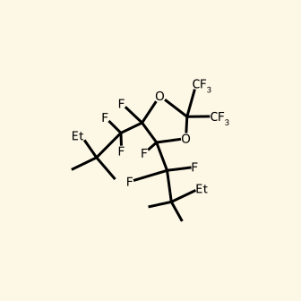 CCC(C)(C)C(F)(F)C1(F)OC(C(F)(F)F)(C(F)(F)F)OC1(F)C(F)(F)C(C)(C)CC